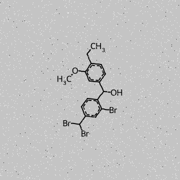 CCc1ccc(C(O)c2ccc(C(Br)Br)cc2Br)cc1OC